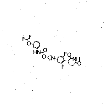 O=C1CCC(c2c(F)cc(N3CC(OC(=O)Nc4cccc(OC(F)F)c4)C3)cc2F)C(=O)N1